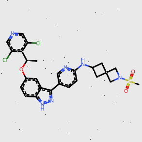 C[C@@H](Oc1ccc2[nH]nc(-c3ccc(NC4CC5(C4)CN(S(C)(=O)=O)C5)nc3)c2c1)c1c(Cl)cncc1Cl